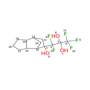 OC1(C(F)(F)C(O)(O)C(F)(F)F)CC2CC1C1CCCC21